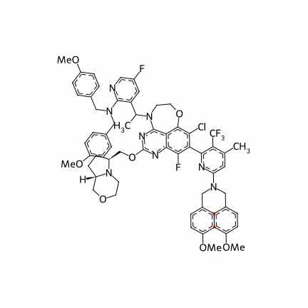 COc1ccc(CN(Cc2ccc(OC)cc2)c2cc(C)c(C(F)(F)F)c(-c3c(Cl)c4c5c(nc(OC[C@@H]6CC[C@H]7COCCN76)nc5c3F)N(C(C)c3cc(F)cnc3N(Cc3ccc(OC)cc3)Cc3ccc(OC)cc3)CCO4)n2)cc1